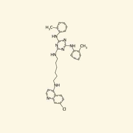 Cc1ccccc1Nc1nc(NCCCCCCNc2ccnc3cc(Cl)ccc23)nc(Nc2ccccc2C)n1